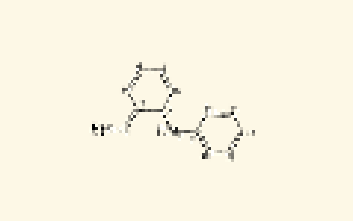 CCC=C1C=CC=CC1Nc1ccccc1